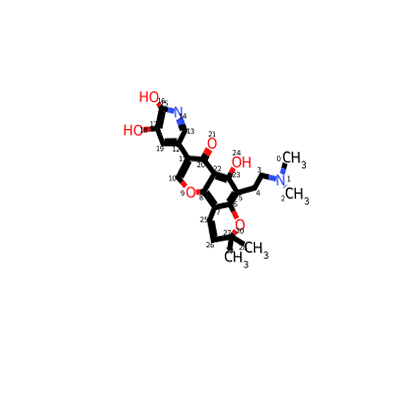 CN(C)CCc1c2c(c3occ(-c4cnc(O)c(O)c4)c(=O)c3c1O)C=CC(C)(C)O2